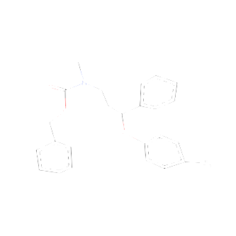 CN(CCC(Oc1ccc(C(F)(F)F)cc1)c1ccccc1)C(=O)OCc1ccccc1